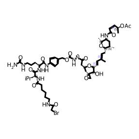 CC(=O)O[C@@H](C)/C=C\C(=O)N[C@@H]1C[C@H](C)[C@H](C/C=C(C)/C=C/[C@H]2O[C@H](CC(=O)N(C)NC(=O)OCc3ccc(NC(=O)[C@H](CCCNC(N)=O)NC(=O)[C@@H](NC(=O)CCCCCNC(=O)CBr)C(C)C)cc3)C[C@@]3(CO3)[C@@H]2O)O[C@@H]1C